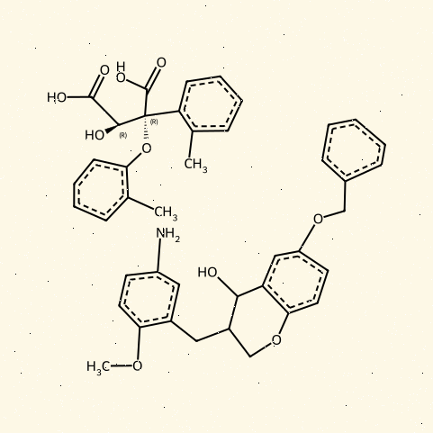 COc1ccc(N)cc1CC1COc2ccc(OCc3ccccc3)cc2C1O.Cc1ccccc1O[C@](C(=O)O)(c1ccccc1C)[C@@H](O)C(=O)O